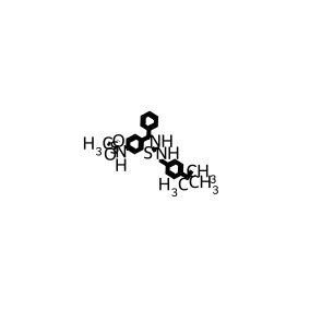 CC(C)(C)c1ccc(CNC(=S)NC(c2ccccc2)c2ccc(NS(C)(=O)=O)cc2)cc1